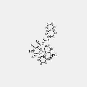 CC1=C(C(=O)OCCN2CCc3ccccc3C2)C(c2cccc([N+](=O)[O-])c2)C(c2ccccn2)=C(C)N1